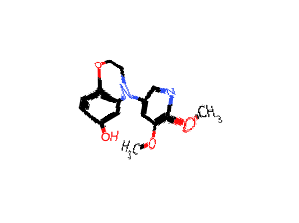 COc1cc(N2CCOc3ccc(O)cc32)cnc1OC